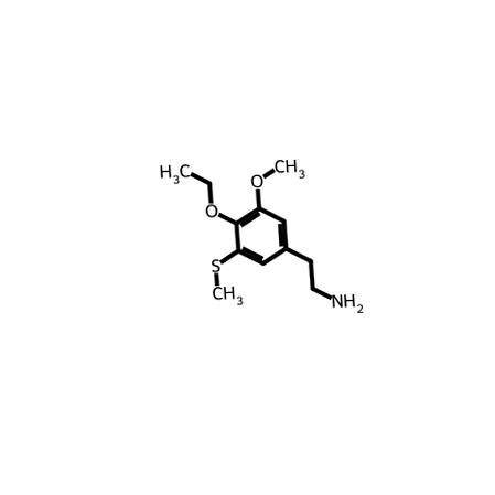 CCOc1c(OC)cc(CCN)cc1SC